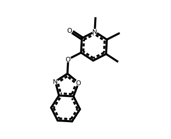 Cc1cc(Oc2nc3ccccc3o2)c(=O)n(C)c1C